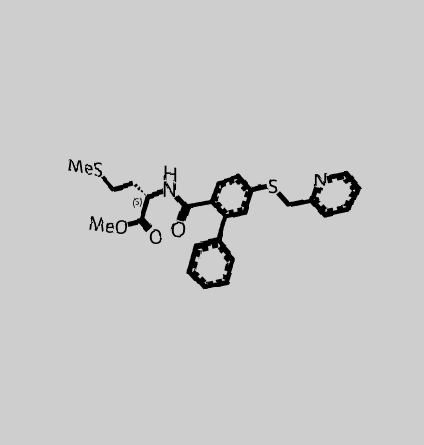 COC(=O)[C@H](CCSC)NC(=O)c1ccc(SCc2ccccn2)cc1-c1ccccc1